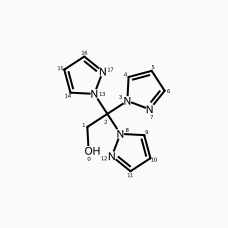 OCC(n1cccn1)(n1cccn1)n1cccn1